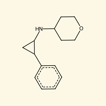 c1ccc(C2CC2NC2CCOCC2)cc1